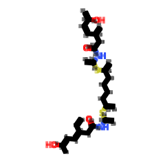 C=C/C(=C\C=C(/C)O)CC(=O)NC(=C)SC(=C)CCCCC(=C)SC(=C)NC(=O)CC(=C)/C=C\C(=C)O